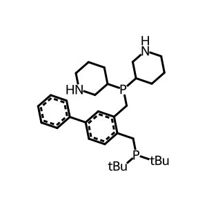 CC(C)(C)P(Cc1ccc(-c2ccccc2)cc1CP(C1CCCNC1)C1CCCNC1)C(C)(C)C